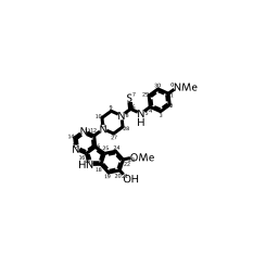 CNc1ccc(NC(=S)N2CCN(c3ncnc4[nH]c5cc(O)c(OC)cc5c34)CC2)cc1